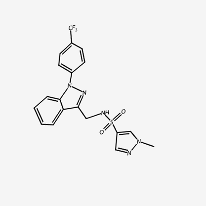 Cn1cc(S(=O)(=O)NCc2nn(-c3ccc(C(F)(F)F)cc3)c3ccccc23)cn1